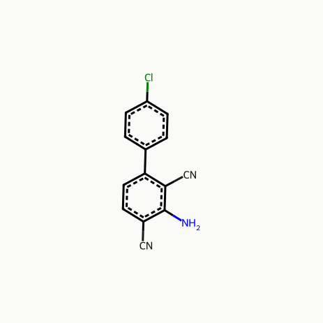 N#Cc1ccc(-c2ccc(Cl)cc2)c(C#N)c1N